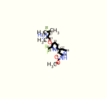 COC(=O)Nc1cc(-c2ccc(OC[C@@](C)(N)CC(C)(C)F)c(C(F)F)n2)ccn1